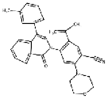 C=C(C)c1cc(C#N)c(N2CCOCC2)cc1-n1nc(-c2cccc(C)c2)c2ccccc2c1=O